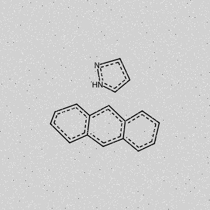 c1ccc2cc3ccccc3cc2c1.c1cn[nH]c1